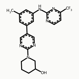 Cc1cc(Nc2nccc(C(F)(F)F)n2)cc(-c2cnc(N3CCCC(O)C3)nc2)c1